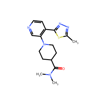 Cc1nnc(-c2ccncc2N2CCC(C(=O)N(C)C)CC2)s1